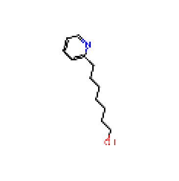 OCCCCCCCc1ccccn1